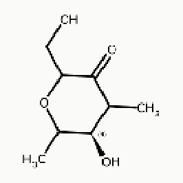 CC1OC(CO)C(=O)C(C)[C@H]1O